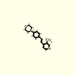 Cc1cnccc1/C=C/c1ccc(N2CCOCC2)cc1